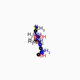 Cc1ncsc1-c1ccc([C@H](C)NC(=O)[C@@H]2C[C@@H](O)CN2C(=O)C(NC(=O)CN2CCN(c3ccc(-c4cc(-c5ccccc5O)nnc4N)cc3)CC2)C(C)(C)C)cc1